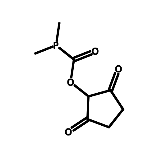 CP(C)C(=O)OC1C(=O)CCC1=O